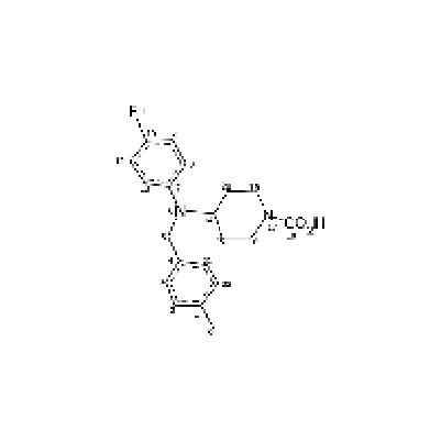 Cc1ccc(CN(c2ccc(F)cc2)C2CCN(C(=O)O)CC2)cc1